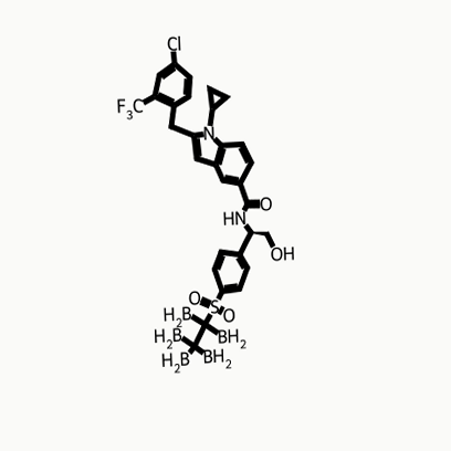 BC(B)(B)C(B)(B)S(=O)(=O)c1ccc([C@H](CO)NC(=O)c2ccc3c(c2)cc(Cc2ccc(Cl)cc2C(F)(F)F)n3C2CC2)cc1